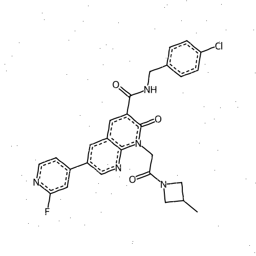 CC1CN(C(=O)Cn2c(=O)c(C(=O)NCc3ccc(Cl)cc3)cc3cc(-c4ccnc(F)c4)cnc32)C1